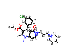 CCOC(=O)C1=C(C)Nc2ccn(CCCN3CCCCC3)c(=O)c2C1c1cccc(Cl)c1